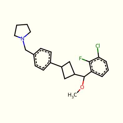 COC(c1cccc(Cl)c1F)C1CC(c2ccc(CN3CCCC3)cc2)C1